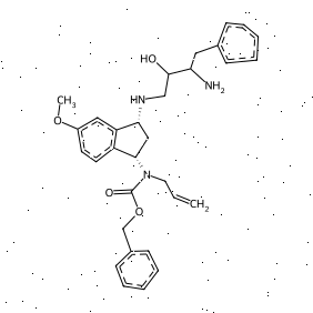 C=CCN(C(=O)OCc1ccccc1)[C@H]1C[C@@H](NCC(O)C(N)Cc2ccccc2)c2cc(OC)ccc21